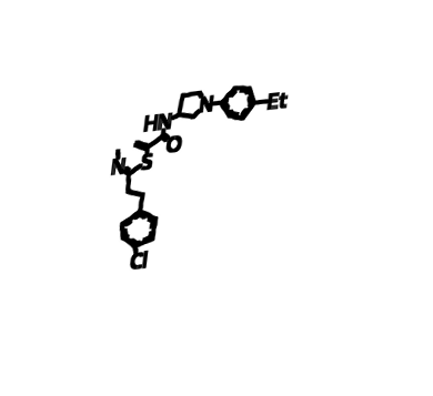 C=C(S/C(CCc1ccc(Cl)cc1)=N\C)C(=O)NC1CCN(c2ccc(CC)cc2)C1